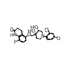 O=C1CCc2c(OC[C@@]3(O)CCN(c4ccc(Cl)cc4Cl)C[C@H]3O)ccc(F)c2N1